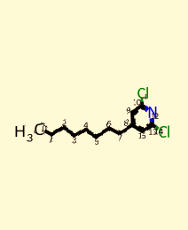 CCCCCCCCc1cc(Cl)nc(Cl)c1